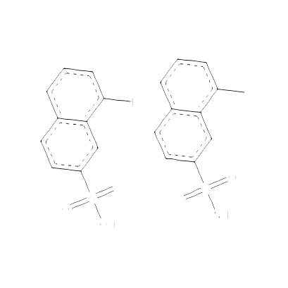 NS(=O)(=O)c1ccc2cccc(I)c2c1.O=S(=O)(O)c1ccc2cccc(I)c2c1